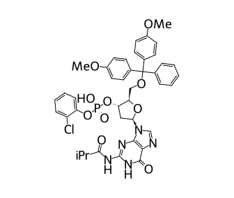 COc1ccc(C(OC[C@H]2O[C@@H](n3cnc4c(=O)[nH]c(NC(=O)C(C)C)nc43)C[C@@H]2OP(=O)(O)Oc2ccccc2Cl)(c2ccccc2)c2ccc(OC)cc2)cc1